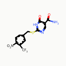 NC(=O)c1cnc(SCc2ccc([N+](=O)[O-])c(C(F)(F)F)c2)[nH]c1=O